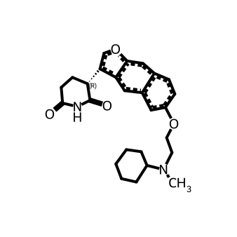 CN(CCOc1ccc2cc3occ([C@H]4CCC(=O)NC4=O)c3cc2c1)C1CCCCC1